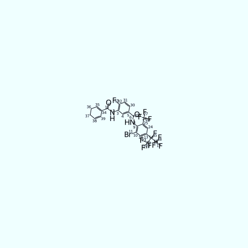 O=C(Nc1cc(C(=O)Nc2c(Br)cc(C(F)(C(F)(F)F)C(F)(F)F)cc2C(F)(F)F)ccc1F)C1=CCCC=C1